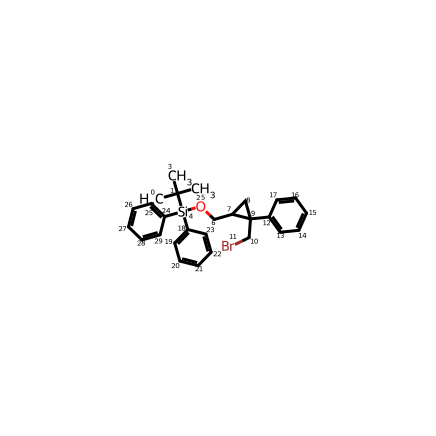 CC(C)(C)[Si](OCC1CC1(CBr)c1ccccc1)(c1ccccc1)c1ccccc1